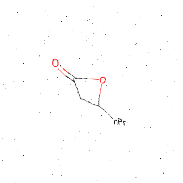 CCCC1CC(=O)O1